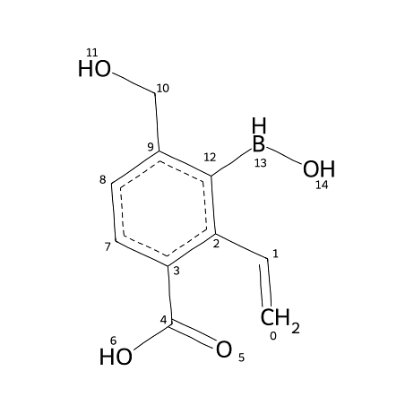 C=Cc1c(C(=O)O)ccc(CO)c1BO